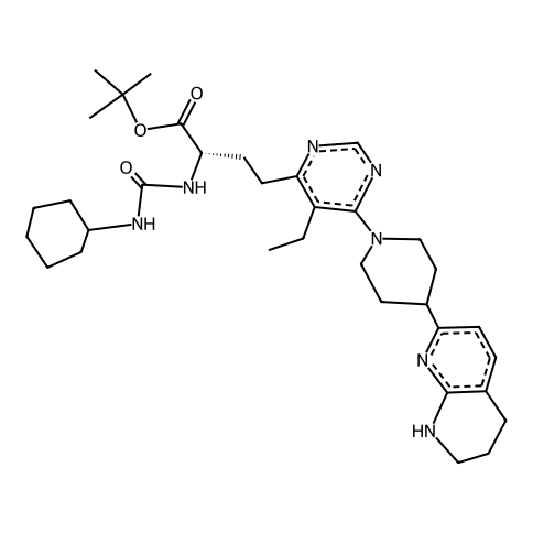 CCc1c(CC[C@H](NC(=O)NC2CCCCC2)C(=O)OC(C)(C)C)ncnc1N1CCC(c2ccc3c(n2)NCCC3)CC1